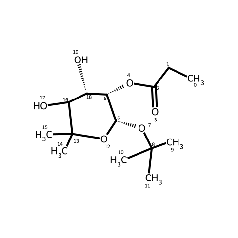 CCC(=O)O[C@@H]1[C@H](OC(C)(C)C)OC(C)(C)C(O)[C@@H]1O